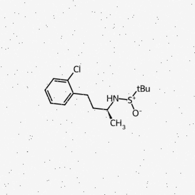 C[C@@H](CCc1ccccc1Cl)N[S+]([O-])C(C)(C)C